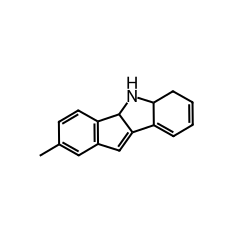 Cc1ccc2c(c1)C=C1C3=CC=CCC3NC12